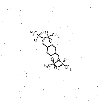 CS(=O)(=O)N(CC1CCC(CN(S(=O)(=O)C(F)(F)F)S(=O)(=O)C(F)(F)F)CC1)S(C)(=O)=O